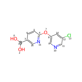 OB(O)c1ccc(Oc2cncc(Cl)c2)nc1